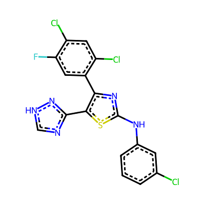 Fc1cc(-c2nc(Nc3cccc(Cl)c3)sc2-c2nc[nH]n2)c(Cl)cc1Cl